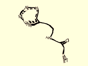 CC(C)C(=O)NCc1nnn[nH]1